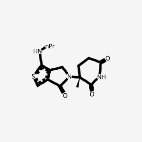 CCCNc1scc2c1CN([C@]1(C)CCC(=O)NC1=O)C2=O